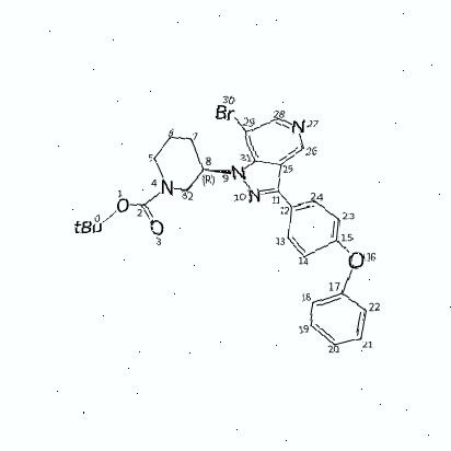 CC(C)(C)OC(=O)N1CCC[C@@H](n2nc(-c3ccc(Oc4ccccc4)cc3)c3cncc(Br)c32)C1